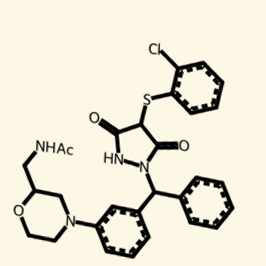 CC(=O)NCC1CN(c2cccc(C(c3ccccc3)N3NC(=O)C(Sc4ccccc4Cl)C3=O)c2)CCO1